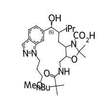 CCCCC(C)(C)C(=O)NCC1OC(C)(C)N(C(=O)O)C1CC(C(C)C)[C@H](O)c1ccc2cnn(CCCOC)c2c1